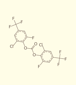 O=C(Oc1c(F)cc(C(F)(F)F)cc1Cl)Oc1c(F)cc(C(F)(F)F)cc1Cl